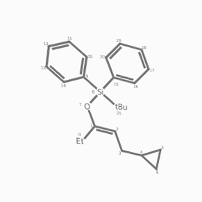 CCC(=CCC1CC1)O[Si](c1ccccc1)(c1ccccc1)C(C)(C)C